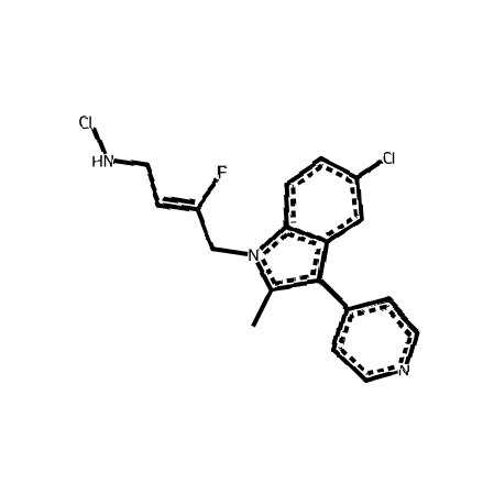 Cc1c(-c2ccncc2)c2cc(Cl)ccc2n1C/C(F)=C/CNCl